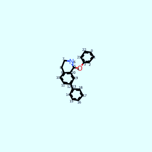 c1ccc(OC2[N]CCc3ccc(-c4ccccc4)cc32)cc1